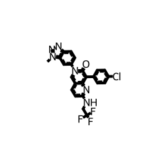 Cn1nnc2ccc(-n3cc4ccc(NCC(F)(F)F)nc4c(-c4ccc(Cl)cc4)c3=O)cc21